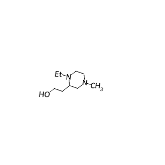 CCN1CCN(C)CC1CCO